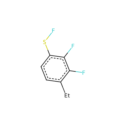 CCc1ccc(SF)c(F)c1F